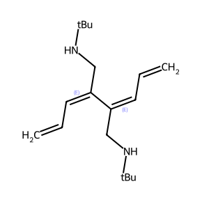 C=C/C=C(CNC(C)(C)C)\C(=C/C=C)CNC(C)(C)C